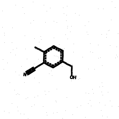 Cc1ccc(CO)cc1C#N